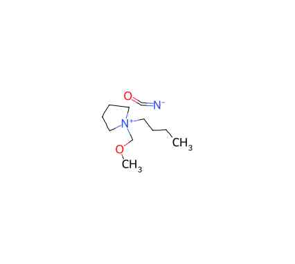 CCCC[N+]1(COC)CCCC1.[N-]=C=O